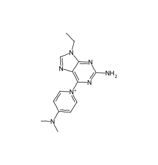 CCn1cnc2c(-[n+]3ccc(N(C)C)cc3)nc(N)nc21